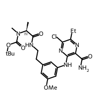 CCc1nc(C(N)=O)c(Nc2cc(CCNC(=O)[C@H](C)N(C)C(=O)OC(C)(C)C)cc(OC)c2)nc1Cl